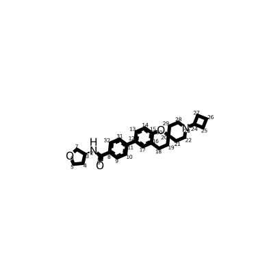 O=C(N[C@@H]1CCOC1)c1ccc(-c2ccc3c(c2)CCC2(CCN(C4CCC4)CC2)O3)cc1